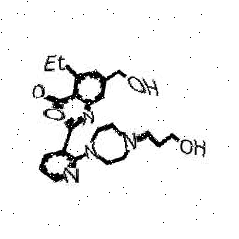 CCc1cc(CO)cc2nc(-c3cccnc3N3CCN(CCCO)CC3)oc(=O)c12